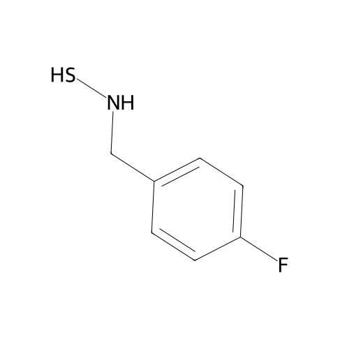 Fc1ccc(CNS)cc1